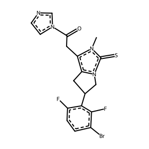 Cn1c(CC(=O)n2ccnc2)c2n(c1=S)CC(c1c(F)ccc(Br)c1F)C2